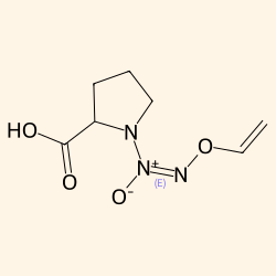 C=CO/N=[N+](/[O-])N1CCCC1C(=O)O